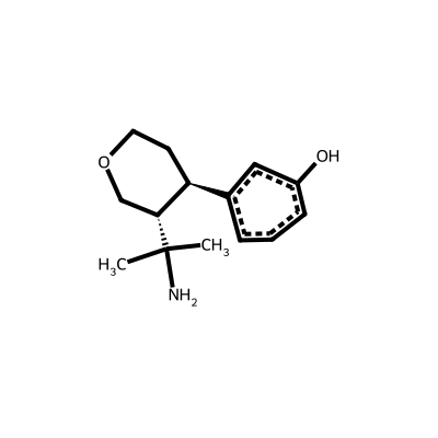 CC(C)(N)[C@@H]1COCC[C@H]1c1cccc(O)c1